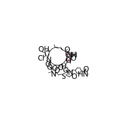 CNC(=O)C1CCC(CN2C(=O)CC(SCCC(=O)N(C)[C@@H](C)C(=O)O[C@H]3CC(=O)N(C)c4cc(cc(CO)c4Cl)C/C(C)=C/C=C/[C@@H](OC)[C@@]4(O)C[C@H](OC(=O)N4)[C@@H](C)[C@@H]4O[C@@]34C)C2=O)CC1